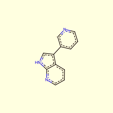 [c]1ncccc1-c1c[nH]c2ncccc12